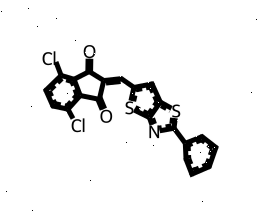 O=C1C(=Cc2cc3sc(-c4ccccc4)nc3s2)C(=O)c2c(Cl)ccc(Cl)c21